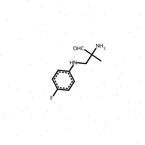 CC(N)(C=O)CNc1ccc(F)cc1